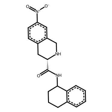 O=C(NC1CCCc2ccccc21)[C@@H]1Cc2ccc([N+](=O)[O-])cc2CN1